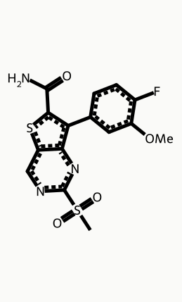 COc1cc(-c2c(C(N)=O)sc3cnc(S(C)(=O)=O)nc23)ccc1F